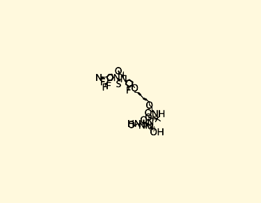 CC(C)(C)[C@H](NC(=O)COCC#CC#CCOc1ccc(N2C(=S)N(c3ccc(C#N)c(C(F)(F)F)c3)C(=O)C2(C)C)cc1F)C(=O)N1C[C@H](O)C[C@H]1C(=O)NNC=O